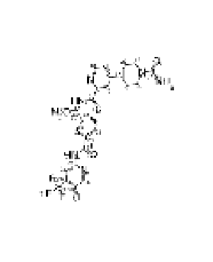 C[C@@H](NC(=O)c1cc(N2CCN(C(N)=O)CC2)ncn1)c1ncc(C(=O)Nc2cc(C(F)(F)F)c(Cl)cn2)s1